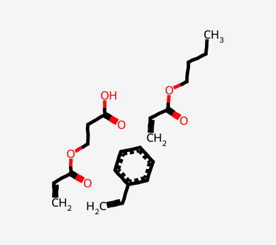 C=CC(=O)OCCC(=O)O.C=CC(=O)OCCCC.C=Cc1ccccc1